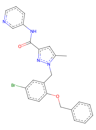 Cc1cc(C(=O)Nc2cccnc2)nn1Cc1cc(Br)ccc1OCc1ccccc1